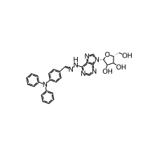 OC[C@H]1O[C@@H](n2cnc3c(N/N=C/c4ccc(N(c5ccccc5)c5ccccc5)cc4)ncnc32)C(O)C1O